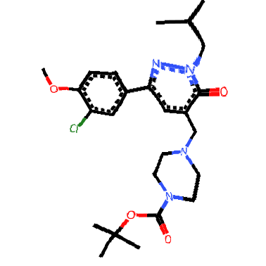 COc1ccc(-c2cc(CN3CCN(C(=O)OC(C)(C)C)CC3)c(=O)n(CC(C)C)n2)cc1Cl